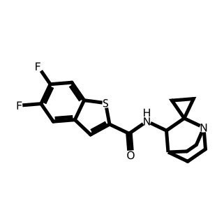 O=C(NC1C2CCN(CC2)C12CC2)c1cc2cc(F)c(F)cc2s1